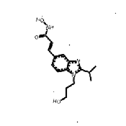 CC(C)c1nc2cc(C=CC(=O)NO)ccc2n1CCCO